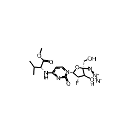 COC(=O)[C@H](Nc1ccn([C@@H]2O[C@@](CO)(N=[N+]=[N-])C(O)[C@@H]2F)c(=O)n1)C(C)C